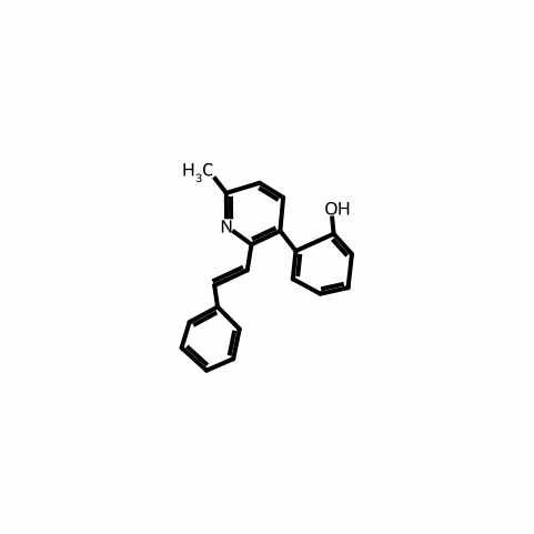 Cc1ccc(-c2ccccc2O)c(C=Cc2ccccc2)n1